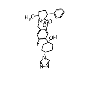 C[C@H]1CC[C@H](c2ccccc2)S(=O)(=O)N1Cc1cc(F)c([C@]2(O)CC[C@@H](n3cnnc3)CC2)cc1F